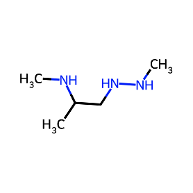 CNNCC(C)NC